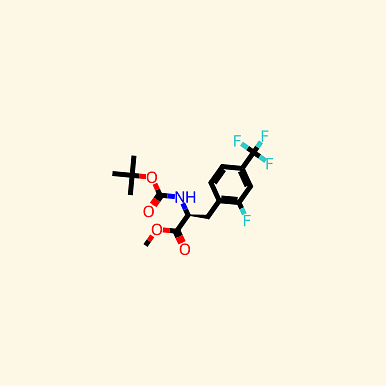 COC(=O)[C@H](Cc1ccc(C(F)(F)F)cc1F)NC(=O)OC(C)(C)C